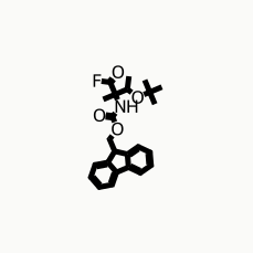 CC(OC(C)(C)C)C(C)(NC(=O)OCC1c2ccccc2-c2ccccc21)C(=O)F